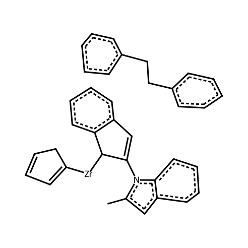 Cc1cc2ccccc2n1C1=Cc2ccccc2[CH]1[Zr][C]1=CC=CC1.c1ccc(CCc2ccccc2)cc1